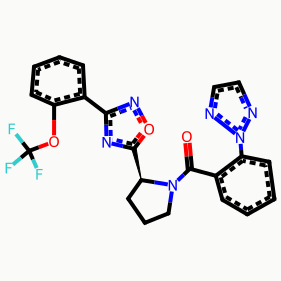 O=C(c1ccccc1-n1nccn1)N1CCC[C@H]1c1nc(-c2ccccc2OC(F)(F)F)no1